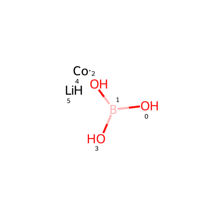 OB(O)O.[Co].[LiH]